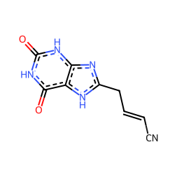 N#CC=CCc1nc2[nH]c(=O)[nH]c(=O)c2[nH]1